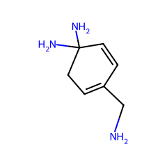 NCC1=CCC(N)(N)C=C1